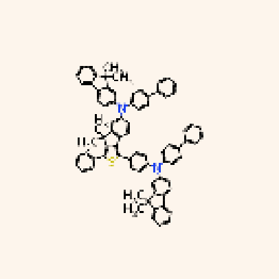 CC1(C)c2ccccc2-c2ccc(N(c3ccc(-c4ccccc4)cc3)c3ccc(-c4sc(-c5ccccc5)c5c4-c4ccc(N(c6ccc(-c7ccccc7)cc6)c6ccc7c(c6)C(C)(C)c6ccccc6-7)cc4C5(C)C)cc3)cc21